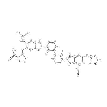 Cc1c(-c2nc3cc(CN4CCC[C@H]4C(=O)O)c(OC(F)F)cc3o2)cccc1-c1cccc(-c2nc3cc(CN4CCCC4)cc(C#N)c3o2)c1C